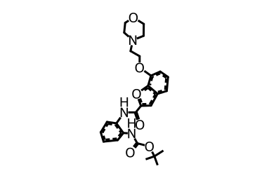 CC(C)(C)OC(=O)Nc1ccccc1NC(=O)c1cc2cccc(OCCN3CCOCC3)c2o1